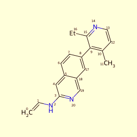 C=CNc1cc2ccc(-c3c(C)ccnc3CC)cc2cn1